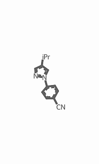 CC(C)c1cnn(-c2ccc(C#N)cc2)c1